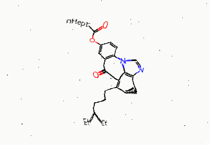 CCCCCCCC(=O)Oc1ccc2c(c1)c(=O)c1c(CCCC(CC)CC)ccc3ncn2c31